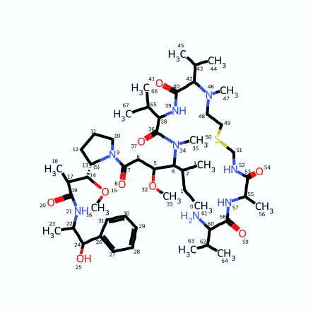 CCC(C)C(C(CC(=O)N1CCC[C@H]1C(OC)C(C)C(=O)NC(C)C(O)c1ccccc1)OC)N(C)C(=O)C(NC(=O)C(C(C)C)N(C)CCSCNC(=O)C(C)NC(=O)C(N)C(C)C)C(C)C